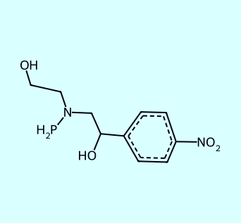 O=[N+]([O-])c1ccc(C(O)CN(P)CCO)cc1